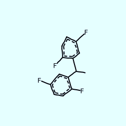 CC(c1cc(F)ccc1F)c1cc(F)ccc1F